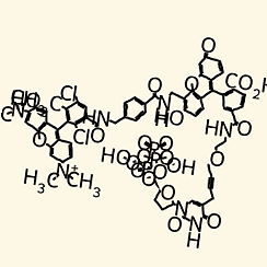 CN(C)c1ccc2c(-c3c(Cl)c(C(=O)NCc4ccc(C(=O)NCc5c(O)ccc6c(-c7cc(C(=O)NCCOCC#CCc8cn([C@H]9CC[C@@H](COP(OO)(OOO)(P(=O)=O)P(=O)=O)O9)c(=O)[nH]c8=O)ccc7C(=O)O)c7ccc(=O)cc-7oc56)cc4)cc(Cl)c3C(=O)O)c3ccc(=[N+](C)C)cc-3oc2c1